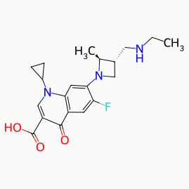 CCNC[C@@H]1CN(c2cc3c(cc2F)c(=O)c(C(=O)O)cn3C2CC2)[C@H]1C